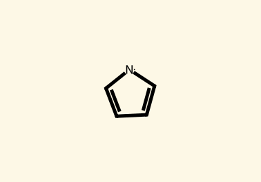 C1=C[N]C=C1